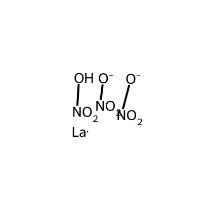 O=[N+]([O-])O.O=[N+]([O-])[O-].O=[N+]([O-])[O-].[La]